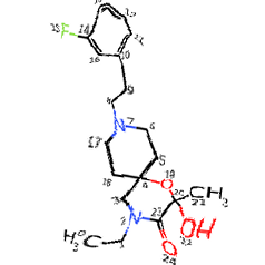 CCN1CC2(CCN(CCc3cccc(F)c3)CC2)OC(C)(O)C1=O